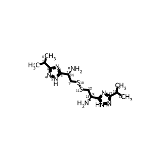 CC(C)c1n[nH]c([C@@H](N)CSSC[C@H](N)c2nc(C(C)C)n[nH]2)n1